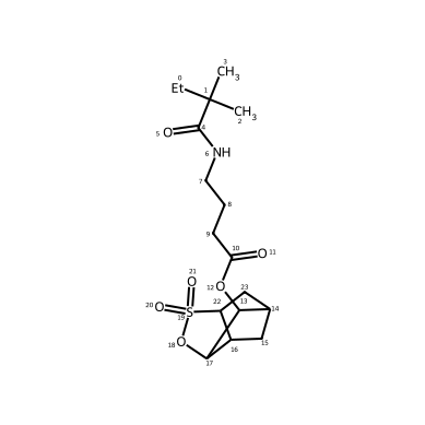 CCC(C)(C)C(=O)NCCCC(=O)OC1C2CC3C1OS(=O)(=O)C3C2